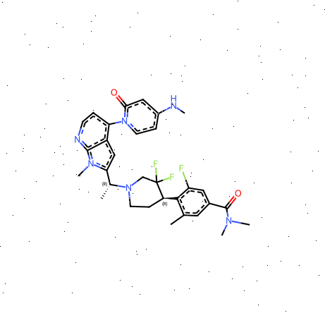 CNc1ccn(-c2ccnc3c2cc([C@@H](C)N2CC[C@H](c4c(C)cc(C(=O)N(C)C)cc4F)C(F)(F)C2)n3C)c(=O)c1